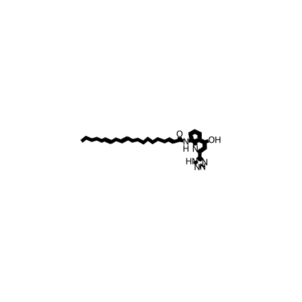 CCCCCC=CCC=CCCCCCCCC=CC(=O)Nc1cccc2c(O)cc(-c3nnn[nH]3)nc12